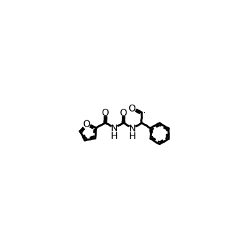 O=[C]C(NC(=O)NC(=O)c1ccco1)c1ccccc1